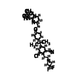 CC(C)(c1ccc(OCc2ccnc(NS(C)(=O)=O)n2)cc1)c1cc(Cl)c(CCN2CC(F)(F)C2)c(C#N)c1